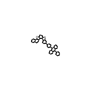 c1ccc(-c2c3ccccc3c(-c3ccc(-c4ccc5c(c4)sc4ccc6oc7c8ccccc8ccc7c6c45)cc3)c3ccccc23)cc1